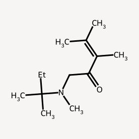 CCC(C)(C)N(C)CC(=O)C(C)=C(C)C